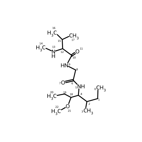 CCC(C)C(NC(=O)CNC(=O)C(NC)C(C)C)C(CC)OC